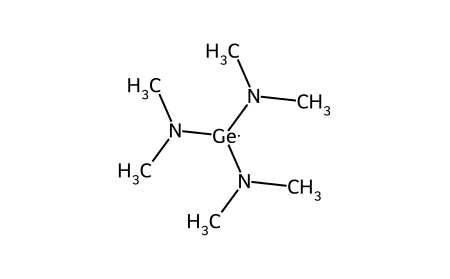 C[N](C)[Ge]([N](C)C)[N](C)C